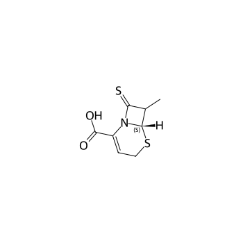 CC1C(=S)N2C(C(=O)O)=CCS[C@@H]12